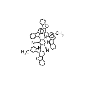 Cc1ccc2c(c1)c1c3oc4ccccc4c3ccc1n2-c1c(C#N)c(-n2c3ccccc3c3ccccc32)c(-n2c3ccc(C)cc3c3c4oc5ccccc5c4ccc32)c(-n2c3ccccc3c3ccccc32)c1C#N